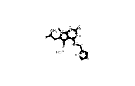 CC(N)Cc1c(F)c2c(NCc3cccs3)nc(Cl)nc2n1C.Cl